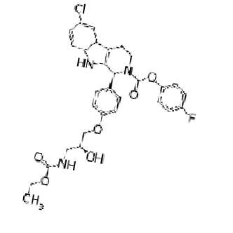 CCOC(=O)NC[C@H](O)COc1ccc([C@H]2C3=C(CCN2C(=O)Oc2ccc(F)cc2)C2C=C(Cl)C=CC2N3)cc1